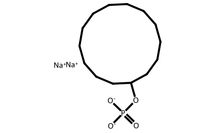 O=P([O-])([O-])OC1CCCCCCCCCCCCC1.[Na+].[Na+]